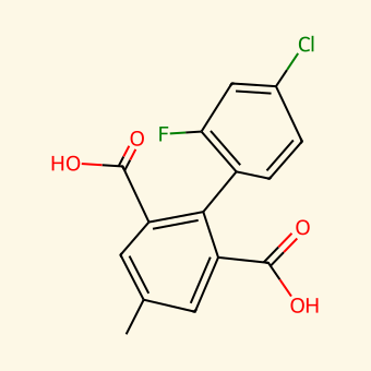 Cc1cc(C(=O)O)c(-c2ccc(Cl)cc2F)c(C(=O)O)c1